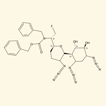 [N-]=[N+]=NC1CC[C@@H]([C@@H](CF)N(Cc2ccccc2)C(=O)OCc2ccccc2)OC1[C@@H]1C(N=[N+]=[N-])CC(N=[N+]=[N-])[C@H](O)[C@H]1O